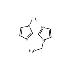 CCn1ccnc1.Cn1ccnc1